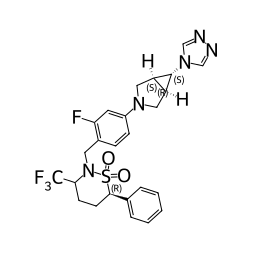 O=S1(=O)[C@@H](c2ccccc2)CCC(C(F)(F)F)N1Cc1ccc(N2C[C@@H]3[C@H](C2)[C@H]3n2cnnc2)cc1F